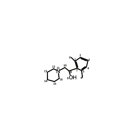 Cc1cccc(C)c1C(O)CN1CCCCC1